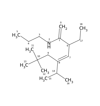 C=C(NCCC)C(/C=C(\CC(C)(C)C)C(C)C)CC